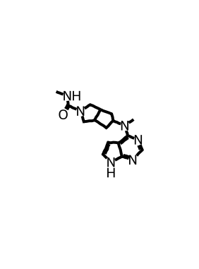 CNC(=O)N1CC2CC(N(C)c3ncnc4[nH]ccc34)CC2C1